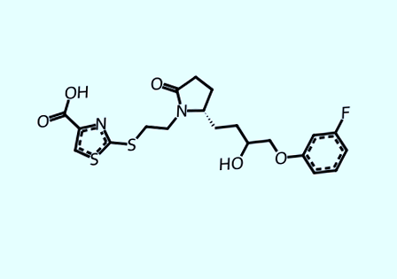 O=C(O)c1csc(SCCN2C(=O)CC[C@@H]2CCC(O)COc2cccc(F)c2)n1